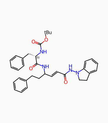 CC(C)(C)OC(=O)N[C@@H](Cc1ccccc1)C(=O)NC(C=CC(=O)NN1CCc2ccccc21)CCc1ccccc1